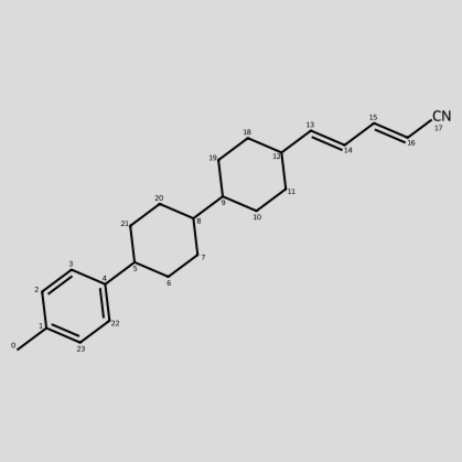 Cc1ccc(C2CCC(C3CCC(C=CC=CC#N)CC3)CC2)cc1